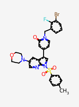 Cc1ccc(S(=O)(=O)n2cc(-c3ccn(Cc4cccc(Br)c4F)c(=O)c3)c3cc(N4CCOCC4)cnc32)cc1